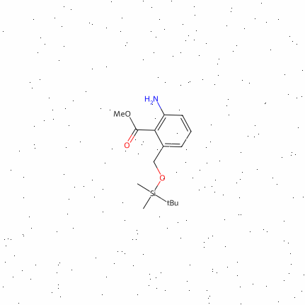 COC(=O)c1c(N)cccc1CO[Si](C)(C)C(C)(C)C